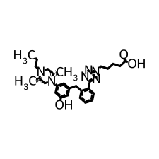 CCCN1C[C@H](C)N(c2cc(O)cc(Cc3ccccc3-c3nnn(CCCCC(=O)O)n3)c2)C[C@H]1C